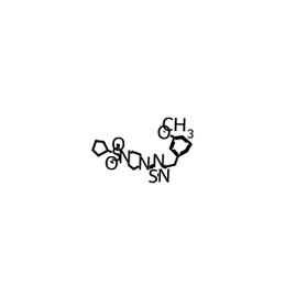 COc1cccc(Cc2nsc(N3CCN(S(=O)(=O)C4CCCC4)CC3)n2)c1